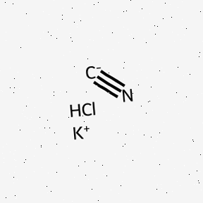 Cl.[C-]#N.[K+]